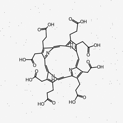 O=C(O)CCC1=C(CC(=O)O)c2cc3[nH]c(cc4nc(cc5[nH]c(cc1n2)c(CCC(=O)O)c5CC(=O)O)C(CC(=O)O)=C4CCC(=O)O)c(CCC(=O)O)c3CC(=O)O